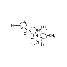 CNc1cc(C)cc(C(=O)N2CCCCC2)c1N[C@@H]1CCCN(C(=O)c2cncc(C#N)c2)C1